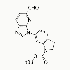 CC(C)(C)OC(=O)N1CCc2ccc(-n3cnc4ccc(C=O)nc43)cc21